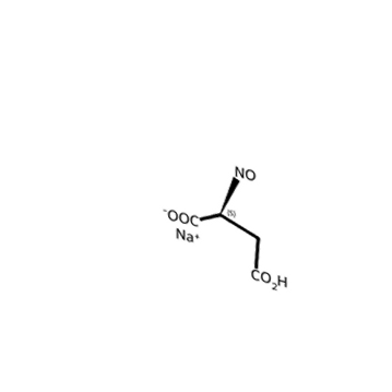 O=N[C@@H](CC(=O)O)C(=O)[O-].[Na+]